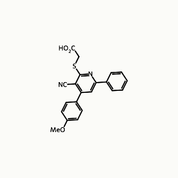 COc1ccc(-c2cc(-c3ccccc3)nc(SCC(=O)O)c2C#N)cc1